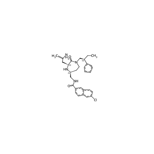 C=C(N)C[C@@H]1N[C@H](CNC(=O)c2ccc3cc(Cl)ccc3c2)CCN(C[C@@H](CC)c2ccccc2)C1=O